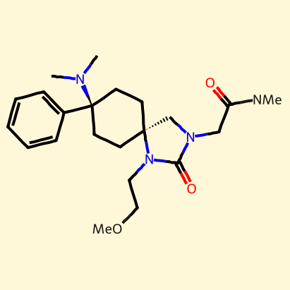 CNC(=O)CN1C[C@]2(CC[C@](c3ccccc3)(N(C)C)CC2)N(CCOC)C1=O